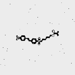 C=C(C)C(=O)OCCCCCCS(=O)(=O)c1ccc(C=Cc2ccc(N(C)C)cc2)cc1